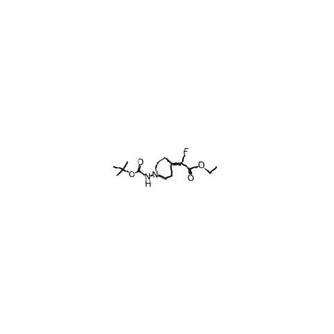 CCOC(=O)C(F)=C1CCN(NC(=O)OC(C)(C)C)CC1